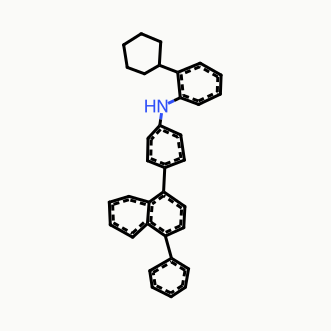 c1ccc(-c2ccc(-c3ccc(Nc4ccccc4C4CCCCC4)cc3)c3ccccc23)cc1